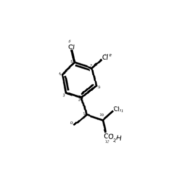 CC(c1ccc(Cl)c(Cl)c1)C(Cl)C(=O)O